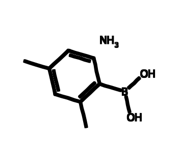 Cc1ccc(B(O)O)c(C)c1.N